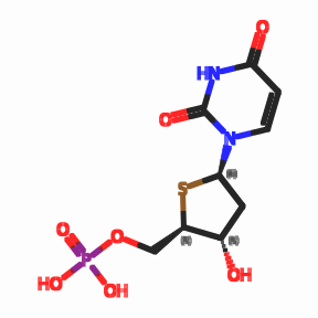 O=c1ccn([C@H]2C[C@H](O)[C@@H](COP(=O)(O)O)S2)c(=O)[nH]1